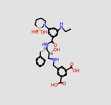 CCNc1cc(C(=O)N[C@@H](Cc2ccccc2)[C@H](O)CNCc2cc(C(=O)O)cc(C(=O)O)c2)cc(N2CCCCS2(O)O)c1